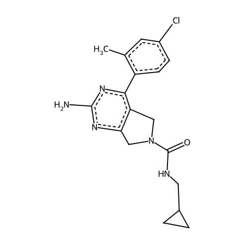 Cc1cc(Cl)ccc1-c1nc(N)nc2c1CN(C(=O)NCC1CC1)C2